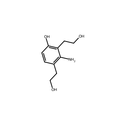 Nc1c(CCO)ccc(O)c1CCO